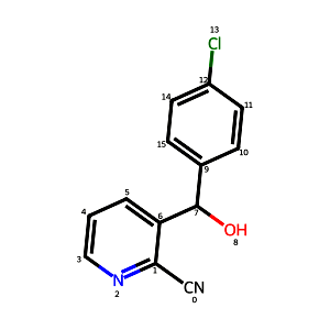 N#Cc1ncccc1C(O)c1ccc(Cl)cc1